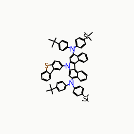 CC(C)(C)c1ccc(N(c2ccc([Si](C)(C)C)cc2)c2cc3c(c4ccccc24)c2c4ccccc4c(N(c4ccc(C(C)(C)C)cc4)c4ccc([Si](C)(C)C)cc4)cc2n3-c2ccc3sc4ccccc4c3c2)cc1